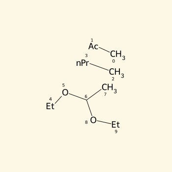 CC(C)=O.CCCC.CCOC(C)OCC